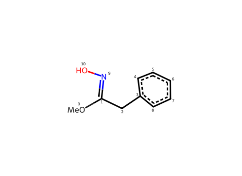 COC(Cc1ccccc1)=NO